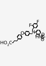 Cc1c(NS(C)(=O)=O)cccc1N(Cc1ccc(Oc2ccc(CCCC(=O)O)cc2)cc1)Cc1ccc(F)cc1F